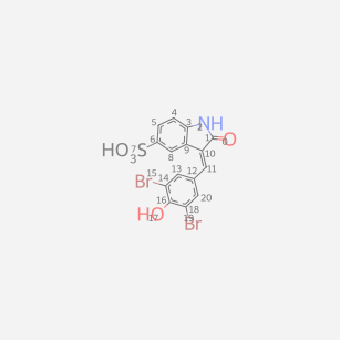 O=C1Nc2ccc(S(=O)(=O)O)cc2C1=Cc1cc(Br)c(O)c(Br)c1